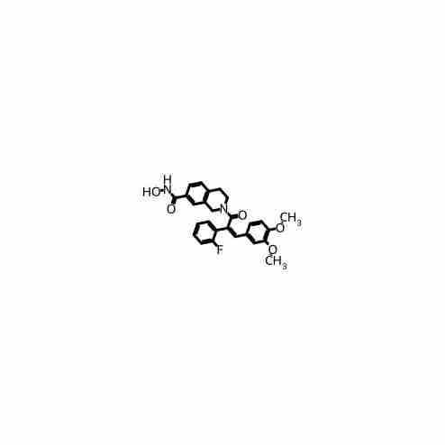 COc1ccc(C=C(C(=O)N2CCc3ccc(C(=O)NO)cc3C2)c2ccccc2F)cc1OC